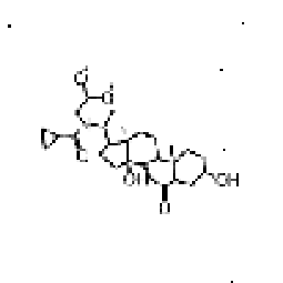 COC(CN(C(=O)C1CC1)C(C)C1CC[C@@]2(O)C3=CC(=O)C4CC(O)CCC4(C)C3CC[C@]12C)OC